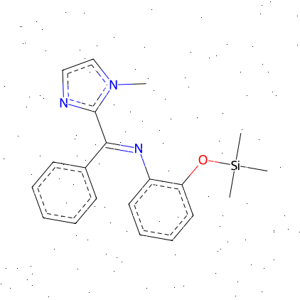 Cn1ccnc1C(=Nc1ccccc1O[Si](C)(C)C)c1ccccc1